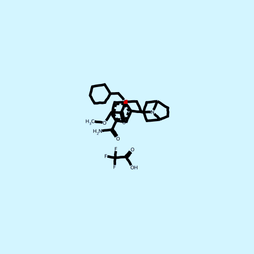 COCC(=O)N(CCN1C2CCC1CC(c1cccc(C(N)=O)c1)C2)CC1CCCCC1.O=C(O)C(F)(F)F